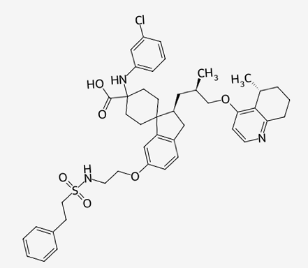 C[C@@H](COc1ccnc2c1[C@H](C)CCC2)C[C@H]1Cc2ccc(OCCNS(=O)(=O)CCc3ccccc3)cc2C12CCC(Nc1cccc(Cl)c1)(C(=O)O)CC2